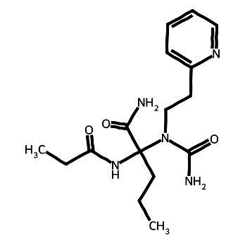 CCCC(NC(=O)CC)(C(N)=O)N(CCc1ccccn1)C(N)=O